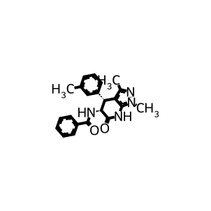 Cc1cccc([C@@H]2c3c(C)nn(C)c3NC(=O)[C@@H]2NC(=O)c2ccccc2)c1